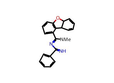 CN/C(=N\C(=N)c1ccccc1)c1cccc2c1C1C=CC=CC1O2